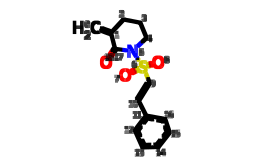 C=C1CCCN(S(=O)(=O)C=Cc2ccccc2)C1=O